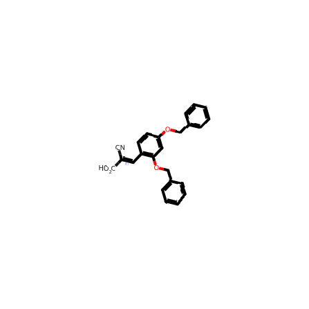 N#C/C(=C\c1ccc(OCc2ccccc2)cc1OCc1ccccc1)C(=O)O